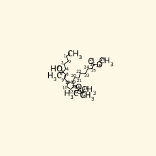 CCCCCC(C)(O)C=CC1CCC(O[Si](C)(C)C)C1CCCCCCC(=O)OC